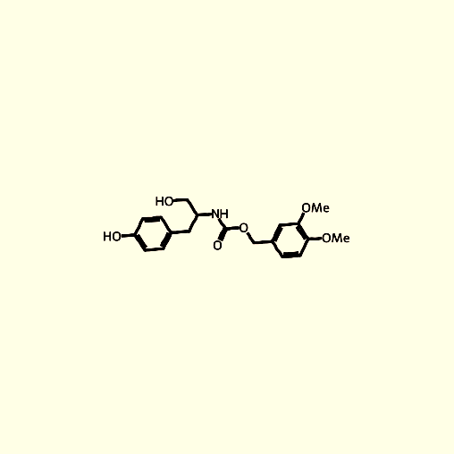 COc1ccc(COC(=O)NC(CO)Cc2ccc(O)cc2)cc1OC